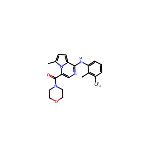 Cc1c(Nc2ncc(C(=O)N3CCOCC3)n3c(C)ccc23)cccc1C(F)(F)F